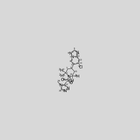 [2H]C1([2H])CC(c2cn3ncnc3cc2Cl)CC([2H])([2H])N1S(=O)(=O)c1nncn1C